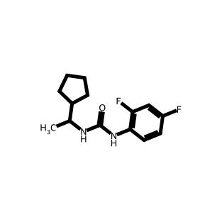 CC(NC(=O)Nc1ccc(F)cc1F)C1CCCC1